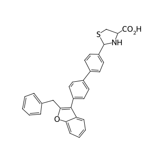 O=C(O)C1CSC(c2ccc(-c3ccc(-c4c(Cc5ccccc5)oc5ccccc45)cc3)cc2)N1